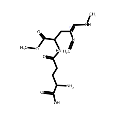 C=N/C(=C\NC)CC(NC(=O)CCC(N)C(=O)O)C(=O)OC